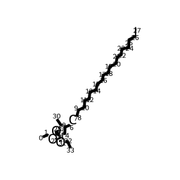 CCO[Si](CCCCCCCCCCCCCCCCCCCCCCCI)(OCC)OCC